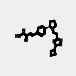 O=C(/C=C/c1ccc([C@@H]2CCCN2CCc2nnn(C3CCC3)n2)cc1)NO